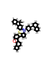 CC1(C)c2ccccc2-c2ccc(N(c3ccc(-c4cccc5ccccc45)cc3)c3cccc4c3sc3ccc5oc6c7ccccc7ccc6c5c34)cc21